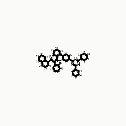 c1ccc(-c2nc(-c3ccccc3)nc(-c3ccc(-c4cccc5nc(-c6cccc7ccccc67)c6c7ccccc7sc6c45)cc3)n2)cc1